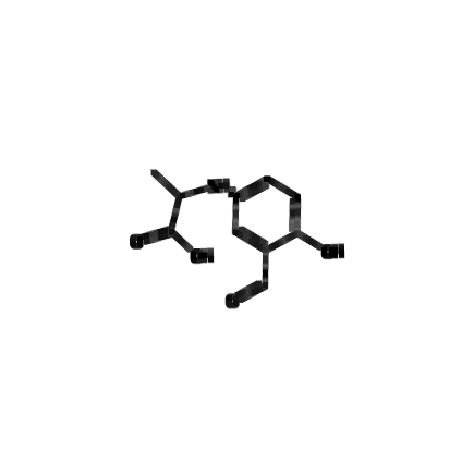 CC(N)C(=O)O.O=Cc1ccccc1O